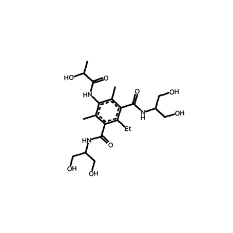 CCc1c(C(=O)NC(CO)CO)c(C)c(NC(=O)C(C)O)c(C)c1C(=O)NC(CO)CO